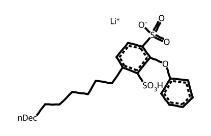 CCCCCCCCCCCCCCCCc1ccc(S(=O)(=O)[O-])c(Oc2ccccc2)c1S(=O)(=O)O.[Li+]